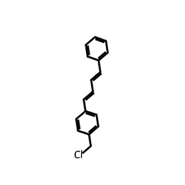 ClCc1ccc(C=CC=Cc2ccccc2)cc1